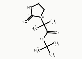 CC(C)(C)OC(=O)C(C)(C)N1CCNC1=O